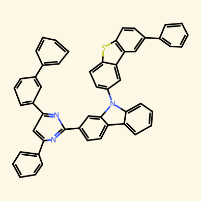 c1ccc(-c2cccc(-c3cc(-c4ccccc4)nc(-c4ccc5c6ccccc6n(-c6ccc7sc8ccc(-c9ccccc9)cc8c7c6)c5c4)n3)c2)cc1